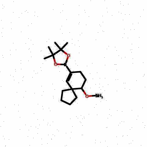 CC1(C)OB(C2=CC3(CCCC3)C(O[SiH3])CC2)OC1(C)C